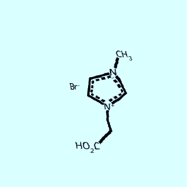 Cn1cc[n+](CC(=O)O)c1.[Br-]